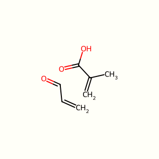 C=C(C)C(=O)O.C=CC=O